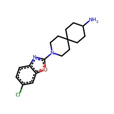 NC1CCC2(CC1)CCN(c1nc3ccc(Cl)cc3o1)CC2